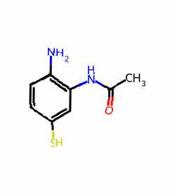 CC(=O)Nc1cc(S)ccc1N